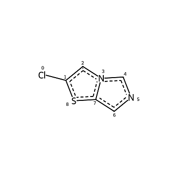 Clc1[c]n2cncc2s1